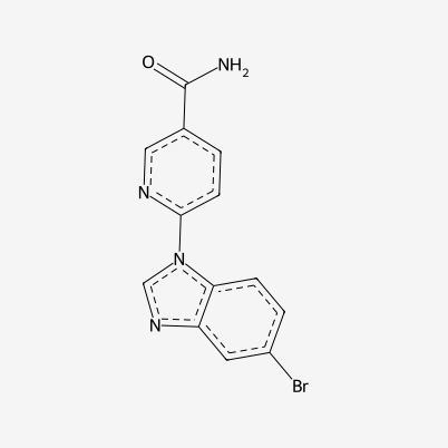 NC(=O)c1ccc(-n2cnc3cc(Br)ccc32)nc1